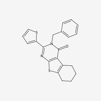 O=c1c2c3c(sc2nc(-c2cccs2)n1Cc1ccccc1)CCCC3